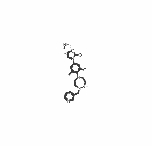 Cc1cc(N2C[C@H](CN)OC2=O)cc(F)c1N1CCNN(Cc2cccnc2)CC1